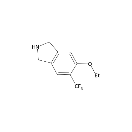 CCOc1cc2c(cc1C(F)(F)F)CNC2